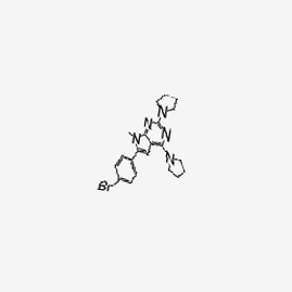 Cn1c(-c2ccc(Br)cc2)cc2c(N3CCCC3)nc(N3CCCC3)nc21